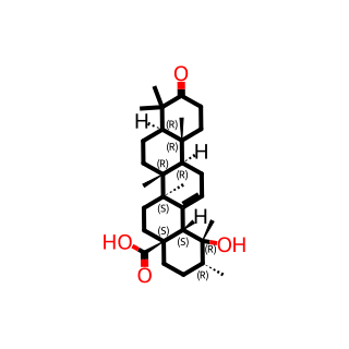 C[C@@H]1CC[C@]2(C(=O)O)CC[C@]3(C)C(=CC[C@@H]4[C@@]5(C)CCC(=O)C(C)(C)[C@@H]5CC[C@]43C)[C@@H]2[C@]1(C)O